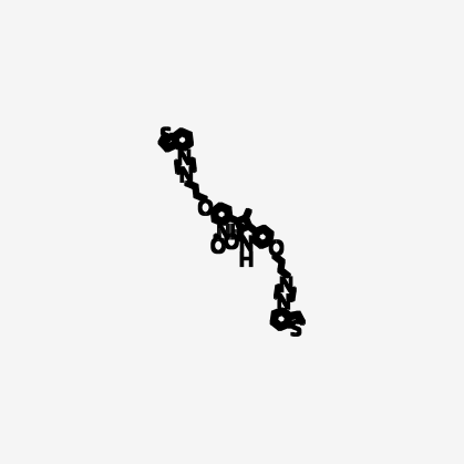 CC1C(c2ccc(OCCCCN3CCN(c4cccc5sccc45)CC3)cc2NC=O)C2C(=O)Nc3cc(OCCCCN4CCN(c5cccc6sccc56)CC4)ccc3C12